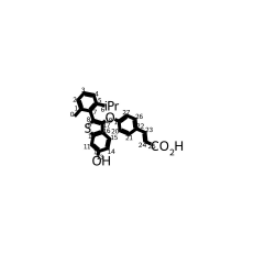 Cc1cccc(C(C)C)c1-c1sc2cc(O)ccc2c1Oc1ccc(C=CC(=O)O)cc1